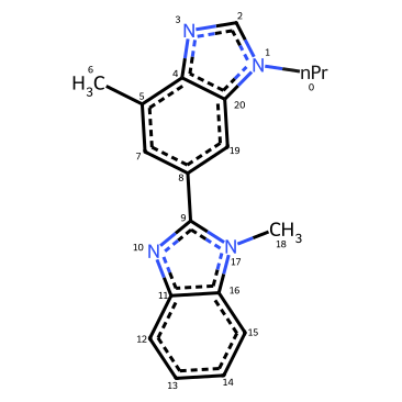 CCCn1cnc2c(C)cc(-c3nc4ccccc4n3C)cc21